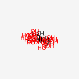 C=C1C[C@@]23CC[C@H]4[C@@](C)(CCC[C@@]4(C)C(=O)OC4OC(CO)C(O)C(O)C4OC4CC(CO)C(O)C(O)C4O)[C@@H]2CC[C@]1(OC1OC(CO)C(O)C(OC2OC(CO)C(O)C(O)C2O)C1OC1OC(CO)C(O)C(O)C1O)C3